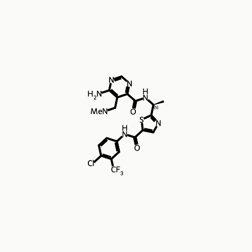 CNCc1c(N)ncnc1C(=O)N[C@@H](C)c1ncc(C(=O)Nc2ccc(Cl)c(C(F)(F)F)c2)s1